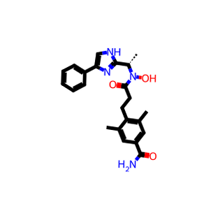 Cc1cc(C(N)=O)cc(C)c1CCC(=O)N(O)[C@@H](C)c1nc(-c2ccccc2)c[nH]1